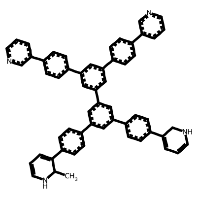 CC1NC=CC=C1c1ccc(-c2cc(-c3ccc(C4=CC=CNC4)cc3)cc(-c3cc(-c4ccc(-c5cccnc5)cc4)cc(-c4ccc(-c5cccnc5)cc4)c3)c2)cc1